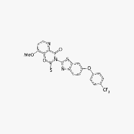 COc1ccnc2c(=O)n(-c3nc4ccc(Oc5ccc(C(F)(F)F)cc5)cc4s3)c(=S)oc12